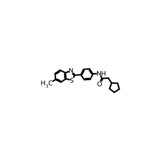 Cc1ccc2nc(-c3ccc(NC(=O)CC4CCCC4)cc3)sc2c1